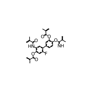 C=C(C)C(=N)Oc1ccc(-c2cc(NC(=O)C(=C)C)c(OC(=O)C(=C)C)cc2F)cc1OC(=O)C(=C)C